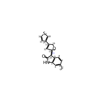 O=C1Nc2cc(F)ccc2/C1=C1/C=C(c2ccsc2)CO1